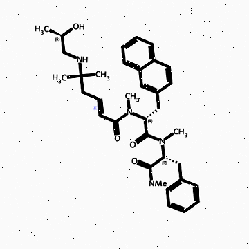 CNC(=O)[C@@H](Cc1ccccc1)N(C)C(=O)[C@@H](Cc1ccc2ccccc2c1)N(C)C(=O)/C=C/CC(C)(C)NC[C@@H](C)O